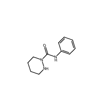 O=C(Nc1ccccc1)N1CCCCN1